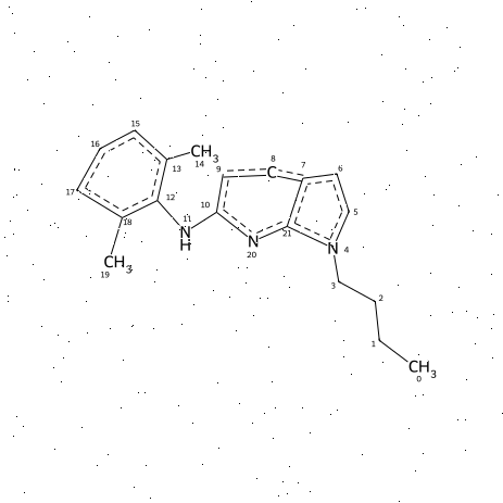 CCCCn1ccc2ccc(Nc3c(C)cccc3C)nc21